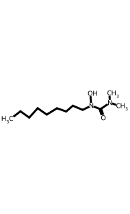 CCCCCCCCCN(O)C(=O)N(C)C